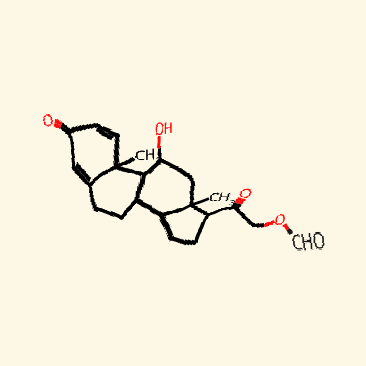 CC12C=CC(=O)C=C1CCC1C2C(O)CC2(C)C(C(=O)COC=O)CCC12